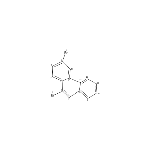 Brc1ccc2c(Br)cc3ccccc3c2c1